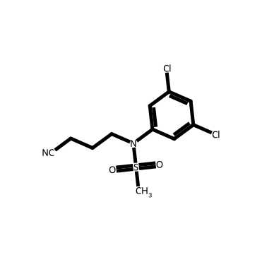 CS(=O)(=O)N(CCCC#N)c1cc(Cl)cc(Cl)c1